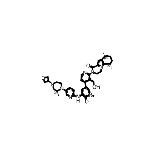 C[C@@H]1CC[C@H](C)c2c1cc1n2CCN(c2nccc(-c3cc(Nc4ccc(N5CCN(C6COC6)C[C@@H]5C)cn4)c(=O)n(C)c3)c2CO)C1=O